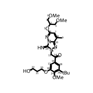 COCC(COC)Oc1cc(C)c2nn(CC(=O)c3cc(OCCCO)c(OC)c(C(C)(C)C)c3)c(=N)n2n1